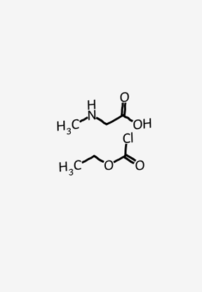 CCOC(=O)Cl.CNCC(=O)O